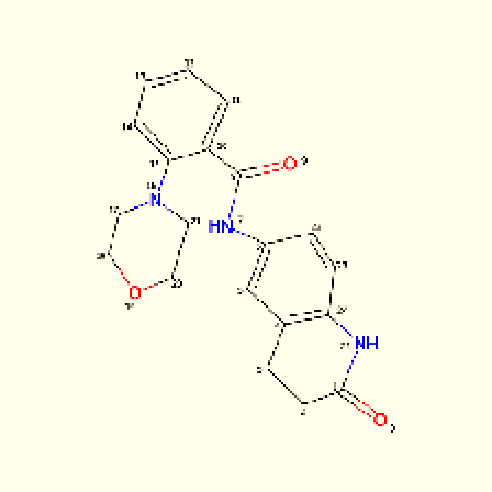 O=C1CCc2cc(NC(=O)c3ccccc3N3CCOCC3)ccc2N1